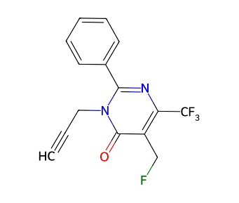 C#CCn1c(-c2ccccc2)nc(C(F)(F)F)c(CF)c1=O